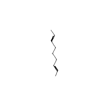 CC=CCCCC=CI